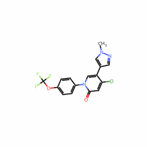 Cn1cc(-c2cn(-c3ccc(OC(F)(F)F)cc3)c(=O)cc2Cl)cn1